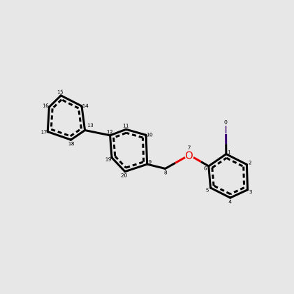 Ic1ccccc1OCc1ccc(-c2ccccc2)cc1